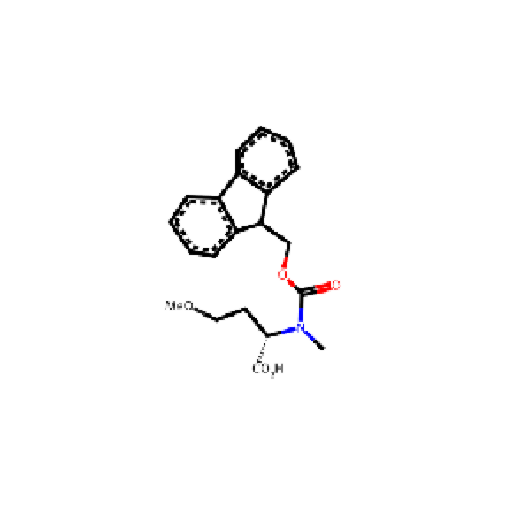 COCC[C@@H](C(=O)O)N(C)C(=O)OCC1c2ccccc2-c2ccccc21